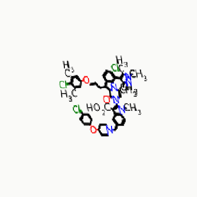 Cc1cc(OCCCc2c3n(c4c(-c5c(C)nn(C)c5C)c(Cl)ccc24)[C@H](C)CN(c2c(C(=O)O)c4cc(CN5CCC(Oc6ccc(Cl)cc6)CC5)ccc4n2C)C3=O)cc(C)c1Cl